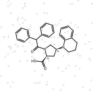 O=C(O)[C@@H]1C[C@H](N2CCCc3ccccc32)CN1C(=O)C(c1ccccc1)c1ccccc1